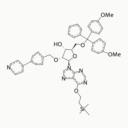 COc1ccc(C(OC[C@H]2O[C@@H](n3cnc4c(OCC[Si](C)(C)C)ncnc43)[C@H](OCc3ccc(-c4ccncc4)cc3)[C@@H]2O)(c2ccccc2)c2ccc(OC)cc2)cc1